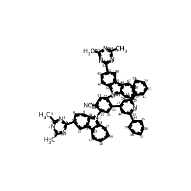 Cc1nc(C)nc(-c2ccc3c(c2)c2ccccc2n3-c2cc(-c3cc(-c4ccccc4)nc(-c4ccccc4)c3)c(-n3c4ccccc4c4cc(-c5nc(C)nc(C)n5)ccc43)cc2C#N)n1